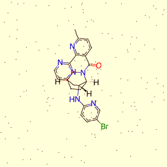 Cc1ccc(C(=O)N2C[C@@H]3CC[C@H]2[C@H](Nc2ccc(Br)cn2)C3)c(-c2ncccn2)n1